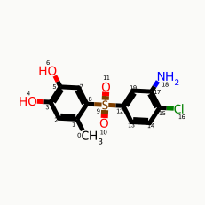 Cc1cc(O)c(O)cc1S(=O)(=O)c1ccc(Cl)c(N)c1